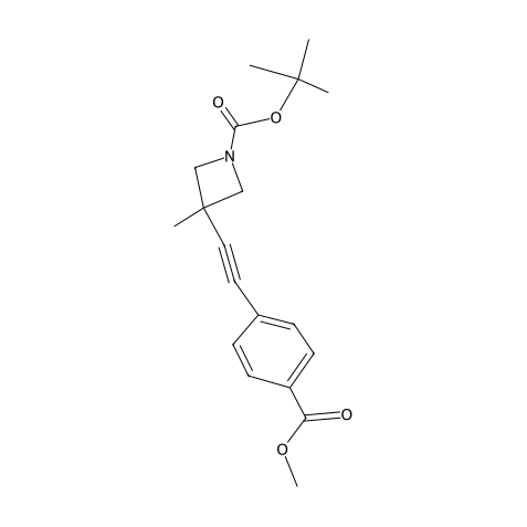 COC(=O)c1ccc(C#CC2(C)CN(C(=O)OC(C)(C)C)C2)cc1